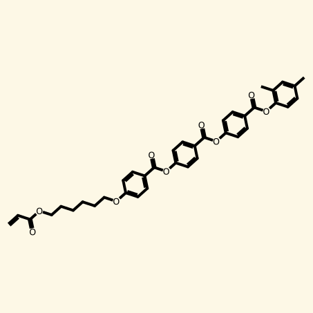 C=CC(=O)OCCCCCCOc1ccc(C(=O)Oc2ccc(C(=O)Oc3ccc(C(=O)Oc4ccc(C)cc4C)cc3)cc2)cc1